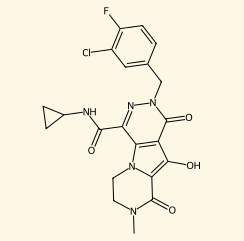 CN1CCn2c(c(O)c3c(=O)n(Cc4ccc(F)c(Cl)c4)nc(C(=O)NC4CC4)c32)C1=O